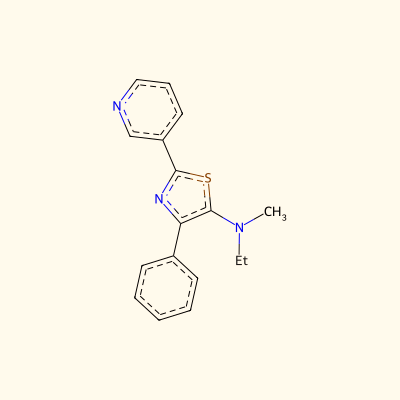 CCN(C)c1sc(-c2cccnc2)nc1-c1ccccc1